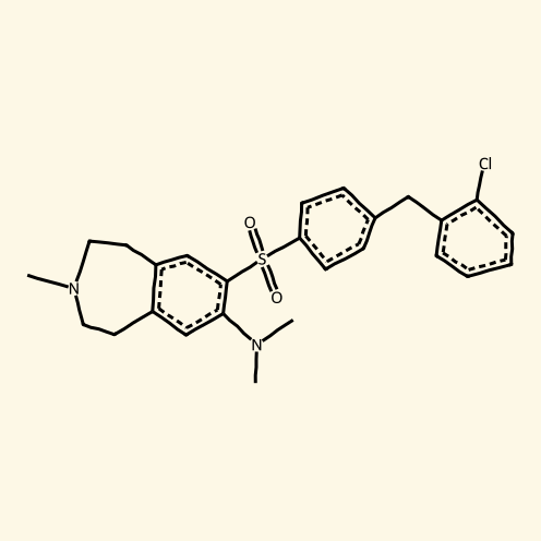 CN1CCc2cc(N(C)C)c(S(=O)(=O)c3ccc(Cc4ccccc4Cl)cc3)cc2CC1